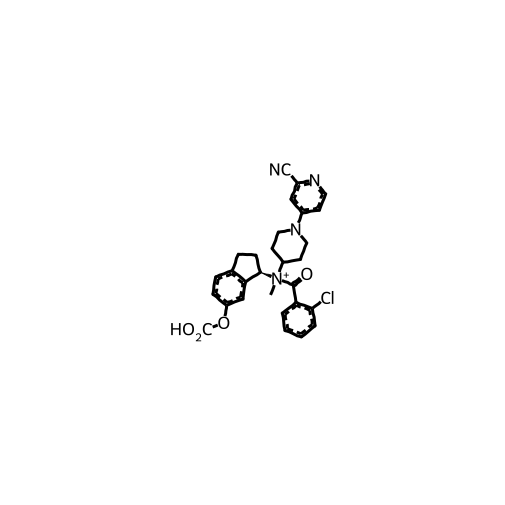 C[N+](C(=O)c1ccccc1Cl)(C1CCN(c2ccnc(C#N)c2)CC1)[C@@H]1CCc2ccc(OC(=O)O)cc21